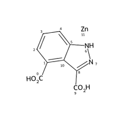 O=C(O)c1cccc2[nH]nc(C(=O)O)c12.[Zn]